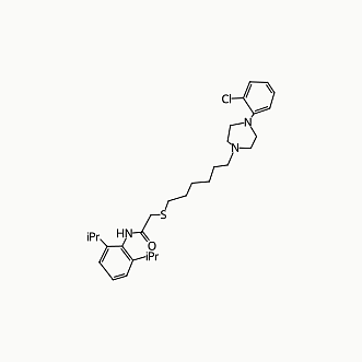 CC(C)c1cccc(C(C)C)c1NC(=O)CSCCCCCCN1CCN(c2ccccc2Cl)CC1